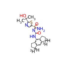 [2H]C1([2H])CCc2c1cc1c(c2NC(=O)N=[S@@](N)(=O)c2cnc(C(C)(C)O)s2)CCC1([2H])[2H]